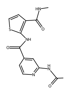 CNC(=O)c1ccsc1NC(=O)c1ccnc(NC(C)=O)c1